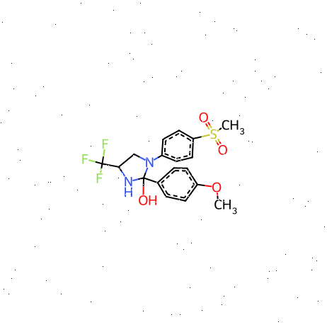 COc1ccc(C2(O)NC(C(F)(F)F)CN2c2ccc(S(C)(=O)=O)cc2)cc1